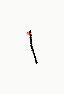 C=CC(=O)OCCCCCCCCCCCCCCCCCCCCCCCCCC(C)C